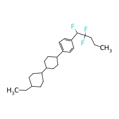 CCCC(F)(F)C(F)c1ccc(C2CCC(C3CCC(CC)CC3)CC2)cc1